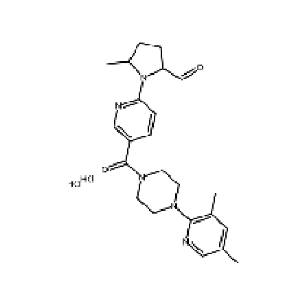 Cc1cnc(N2CCN(C(=O)c3ccc(N4C(C)CCC4C=O)nc3)CC2)c(C)c1.Cl.Cl